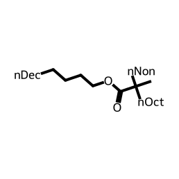 CCCCCCCCCCCCCCOC(=O)C(C)(CCCCCCCC)CCCCCCCCC